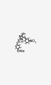 COc1ccc(COCc2nc(C(C)C)c(Sc3cccc([N+](=O)[O-])c3)[nH]2)cc1